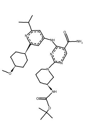 CO[C@H]1CC[C@@H](c2cc(Nc3nc(N4CCC[C@H](NC(=O)OC(C)(C)C)C4)ncc3C(N)=O)cc(C(C)C)n2)CC1